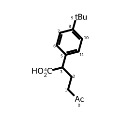 CC(=O)CCC(C(=O)O)c1ccc(C(C)(C)C)cc1